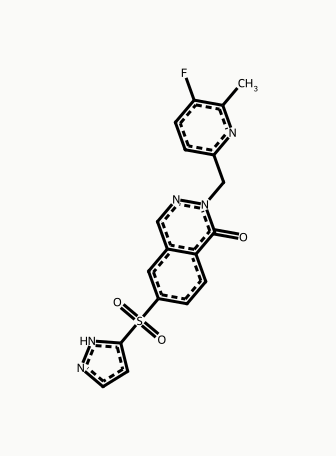 Cc1nc(Cn2ncc3cc(S(=O)(=O)c4ccn[nH]4)ccc3c2=O)ccc1F